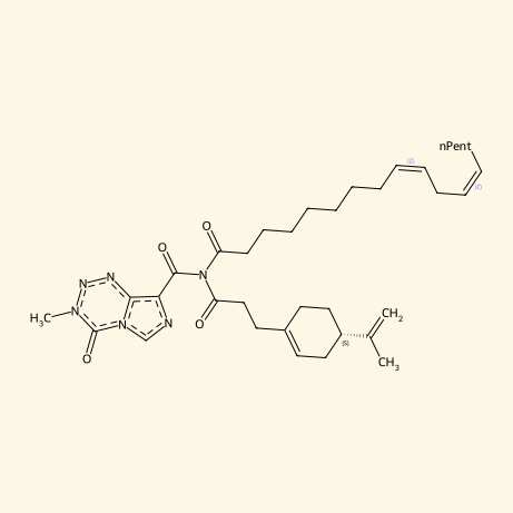 C=C(C)[C@@H]1CC=C(CCC(=O)N(C(=O)CCCCCCC/C=C\C/C=C\CCCCC)C(=O)c2ncn3c(=O)n(C)nnc23)CC1